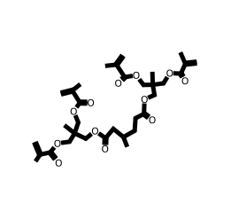 C=C(C)C(=O)OCC(C)(COC(=O)CCC(C)CC(=O)OCC(C)(COC(=O)C(=C)C)COC(=O)C(=C)C)COC(=O)C(=C)C